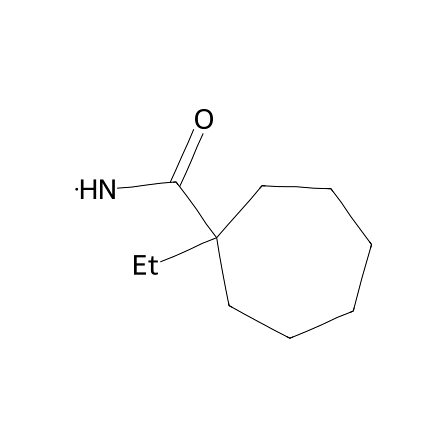 CCC1(C([NH])=O)CCCCCC1